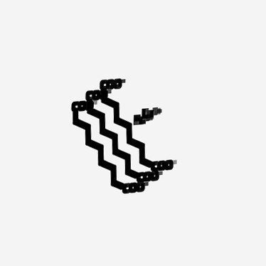 O=C([O-])CCCCCCCC(=O)[O-].O=C([O-])CCCCCCCC(=O)[O-].O=C([O-])CCCCCCCC(=O)[O-].[Eu+3].[Eu+3]